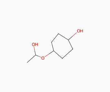 CC(O)OC1CCC(O)CC1